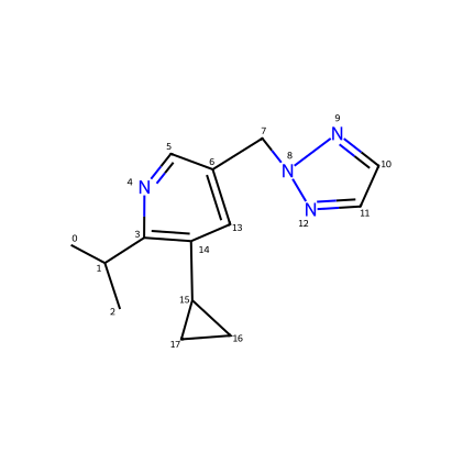 CC(C)c1ncc(Cn2nccn2)cc1C1CC1